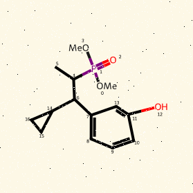 COP(=O)(OC)C(C)C(c1cccc(O)c1)C1CC1